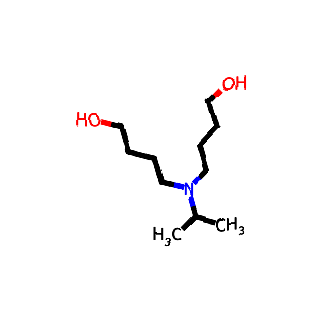 CC(C)N(CCCCO)CCCCO